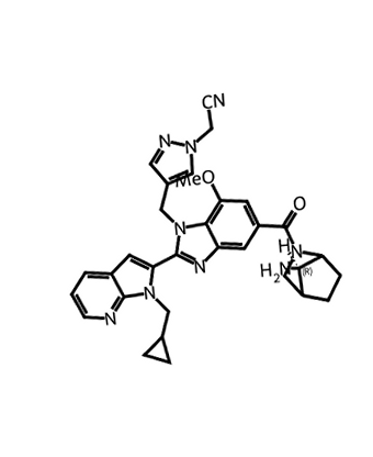 COc1cc(C(=O)N2CC3CCC2[C@@H]3N)cc2nc(-c3cc4cccnc4n3CC3CC3)n(Cc3cnn(CC#N)c3)c12